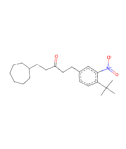 CC(C)(C)c1ccc(CCC(=O)CCC2CCCCCC2)cc1[N+](=O)[O-]